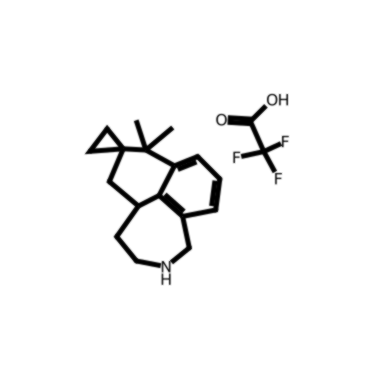 CC1(C)c2cccc3c2C(CCNC3)CC12CC2.O=C(O)C(F)(F)F